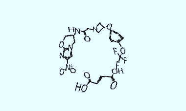 O=C(CN1CC(Oc2ccc(OC(F)(F)F)cc2)C1)N[C@@H]1COc2nc([N+](=O)[O-])cn2C1.O=C(O)C=CC(=O)O